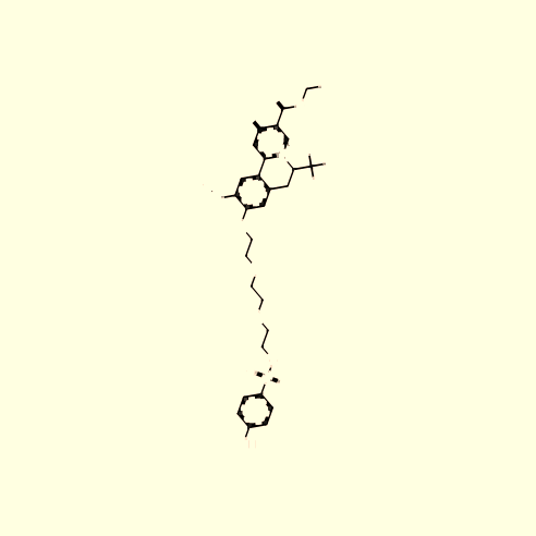 CCOC(=O)c1cn2c(cc1=O)-c1cc(OC)c(OCCOCCOCCOS(=O)(=O)c3ccc(C)cc3)cc1CC2C(C)(C)C